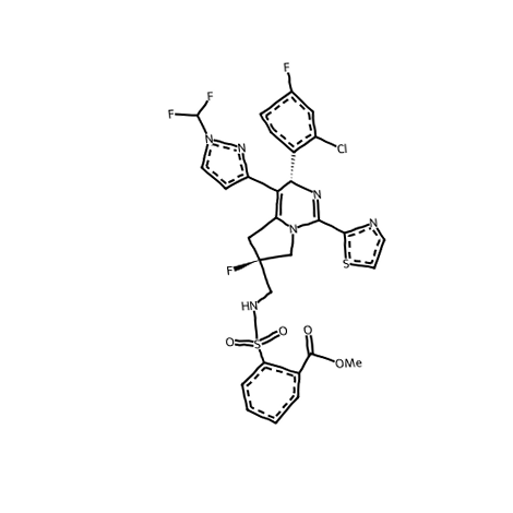 COC(=O)c1ccccc1S(=O)(=O)NC[C@]1(F)CC2=C(c3ccn(C(F)F)n3)[C@H](c3ccc(F)cc3Cl)N=C(c3nccs3)N2C1